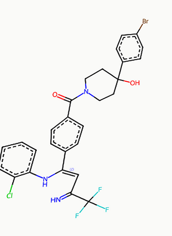 N=C(/C=C(\Nc1ccccc1Cl)c1ccc(C(=O)N2CCC(O)(c3ccc(Br)cc3)CC2)cc1)C(F)(F)F